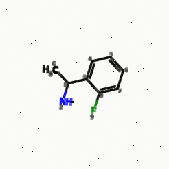 CC([NH])c1ccccc1F